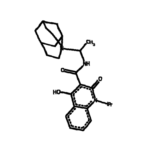 CC(NC(=O)c1c(O)c2ccccc2n(C(C)C)c1=O)N1C2CC3CC(C2)CC1C3